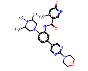 CC1CN(c2ccc(-c3cnc(N4CCOCC4)nc3)cc2NC(=O)c2c[nH]c(=O)cc2C(F)(F)F)CC(C)N1C